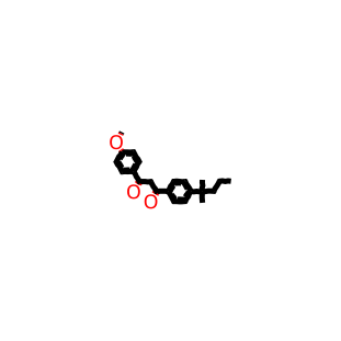 CCCC(C)(C)c1ccc(C(=O)CC(=O)c2ccc(OC)cc2)cc1